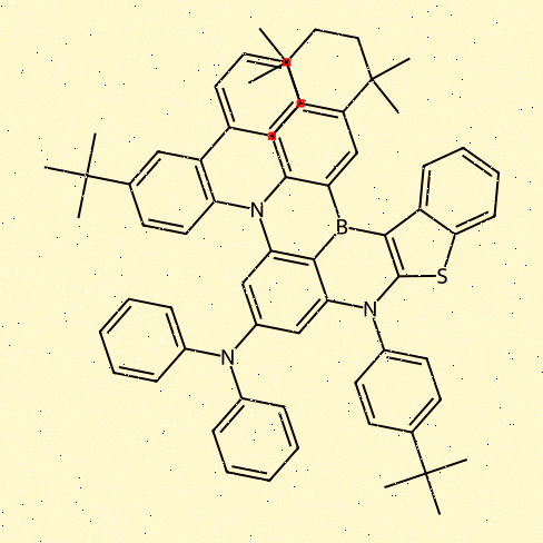 CC(C)(C)c1ccc(N2c3cc(N(c4ccccc4)c4ccccc4)cc4c3B(c3cc5c(cc3N4c3ccc(C(C)(C)C)cc3-c3ccccc3)C(C)(C)CCC5(C)C)c3c2sc2ccccc32)cc1